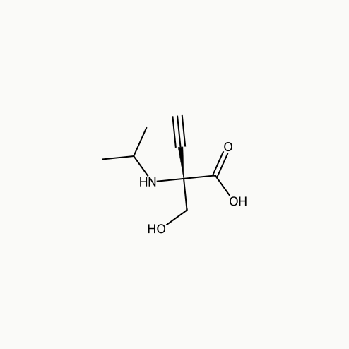 C#C[C@@](CO)(NC(C)C)C(=O)O